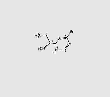 CC[C@H](N)c1cc(Br)ccn1